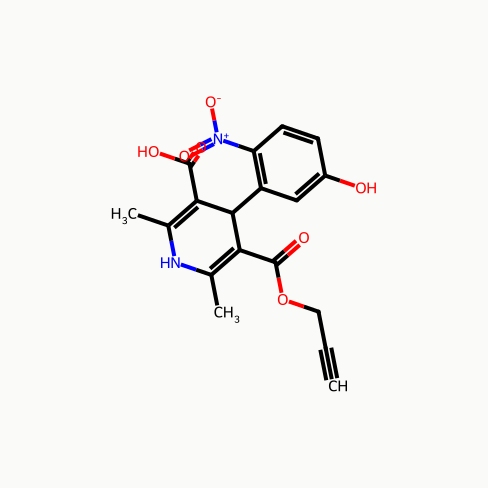 C#CCOC(=O)C1=C(C)NC(C)=C(C(=O)O)C1c1cc(O)ccc1[N+](=O)[O-]